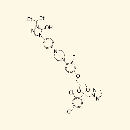 CCC(CC)N1N=CN(c2ccc(N3CCN(c4ccc(OC[C@@H]5CO[C@@](Cn6nccn6)(c6ccc(Cl)cc6Cl)O5)cc4F)CC3)cc2)C1O